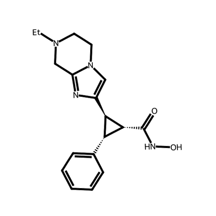 CCN1CCn2cc([C@H]3[C@H](C(=O)NO)[C@@H]3c3ccccc3)nc2C1